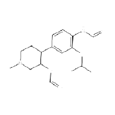 CC(C)Oc1cc(C2CCN(C)CC2OC=O)ccc1NC=O